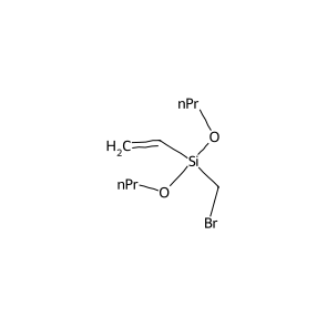 C=C[Si](CBr)(OCCC)OCCC